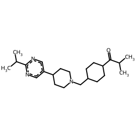 CC(C)C(=O)C1CCC(CN2CCC(c3cnc(C(C)C)nc3)CC2)CC1